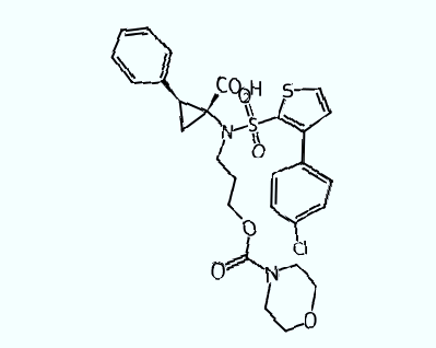 O=C(OCCCN([C@]1(C(=O)O)C[C@H]1c1ccccc1)S(=O)(=O)c1sccc1-c1ccc(Cl)cc1)N1CCOCC1